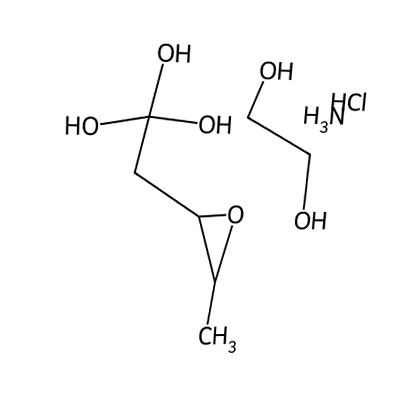 CC1OC1CC(O)(O)O.Cl.N.OCCO